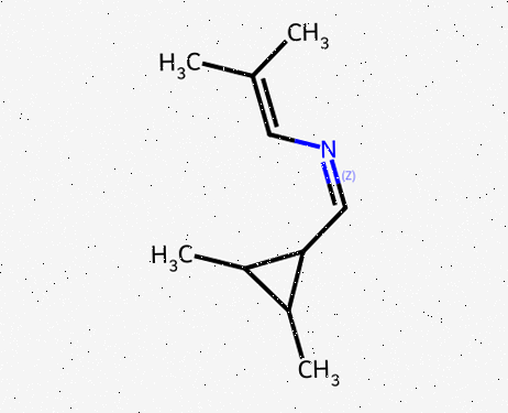 CC(C)=C/N=C\C1C(C)C1C